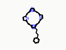 C1=Cc2cc3cc(CCCc4ccccc4)c(cc4nc(cc5ccc(cc1n2)[nH]5)C=C4)[nH]3